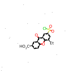 CCc1cc(S(=O)(=O)Cl)cc2c(=O)c3cc(C(=O)O)ccc3oc12